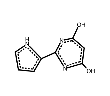 Oc1cc(O)nc(-c2ccc[nH]2)n1